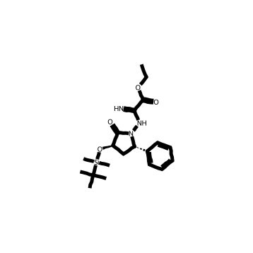 CCOC(=O)C(=N)NN1C(=O)[C@H](O[Si](C)(C)C(C)(C)C)C[C@H]1c1ccccc1